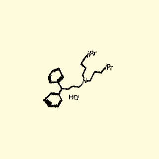 CC(C)CCCN(CCCC(C)C)CCCC(c1ccccc1)c1ccccc1.Cl